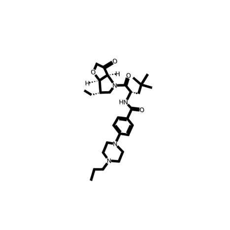 CCCN1CCN(c2ccc(C(=O)N[C@@H](CC(C)(C)C)C(=O)N3C[C@H](CC)[C@H]4OCC(=O)[C@H]43)cc2)CC1